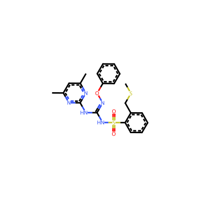 CSCc1ccccc1S(=O)(=O)NC(=NOc1ccccc1)Nc1nc(C)cc(C)n1